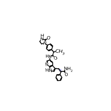 CC(C(=O)Nc1cnc2[nH]cc(/C=C(/C(N)=O)c3ccccc3)c2c1)c1ccc(N2CCNC2=O)cc1